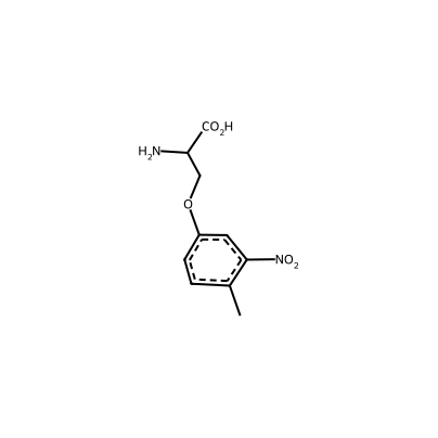 Cc1ccc(OCC(N)C(=O)O)cc1[N+](=O)[O-]